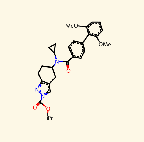 COc1cccc(OC)c1-c1ccc(C(=O)N(C2CC2)C2CCc3nn(C(=O)OC(C)C)cc3C2)cc1